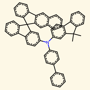 CC1(C)c2ccccc2-c2ccc(N(c3ccc(-c4ccccc4)cc3)c3ccc4c(c3)C3(c5ccccc5-4)c4ccccc4-c4cc5ccccc5cc43)cc21